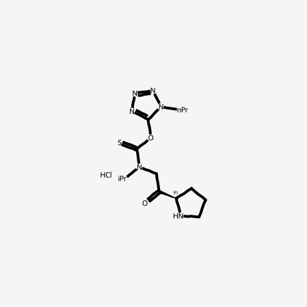 CCCn1nnnc1OC(=S)N(CC(=O)[C@H]1CCCN1)C(C)C.Cl